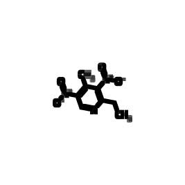 CCc1ncc([N+](=O)[O-])c(C)c1[N+](=O)[O-]